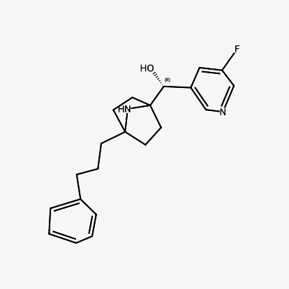 O[C@H](c1cncc(F)c1)C12CCC(CCCc3ccccc3)(CC1)N2